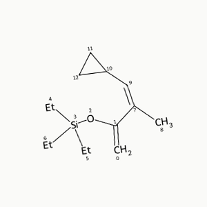 C=C(O[Si](CC)(CC)CC)C(C)=CC1CC1